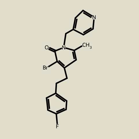 Cc1cc(CCc2ccc(F)cc2)c(Br)c(=O)n1Cc1ccncc1